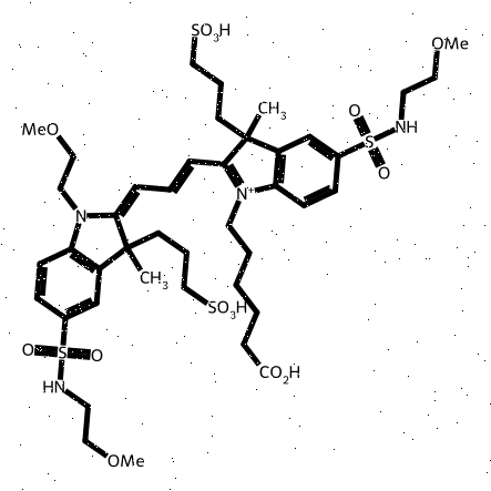 COCCNS(=O)(=O)c1ccc2c(c1)C(C)(CCCS(=O)(=O)O)C(/C=C/C=C1/N(CCOC)c3ccc(S(=O)(=O)NCCOC)cc3C1(C)CCCS(=O)(=O)O)=[N+]2CCCCCC(=O)O